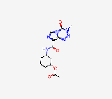 CC(=O)OC1CCCC(NC(=O)c2ncn3c(=O)n(C)nnc23)C1